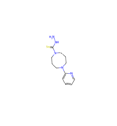 NNC(=S)N1CCCN(c2ccccn2)CCC1